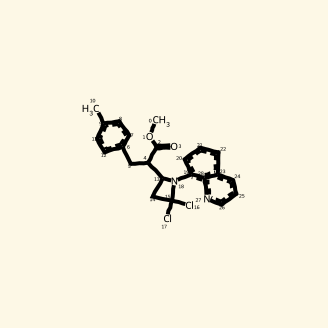 COC(=O)C(Cc1ccc(C)cc1)C1CC(Cl)(Cl)N1c1cccc2cccnc12